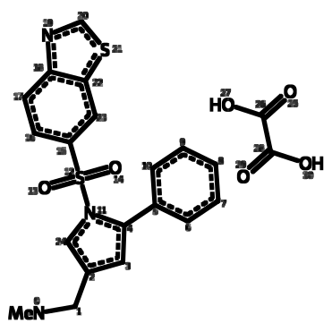 CNCc1cc(-c2ccccc2)n(S(=O)(=O)c2ccc3ncsc3c2)c1.O=C(O)C(=O)O